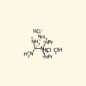 CCCN(CCC)C(N)N.Cl.Cl.Cl.N